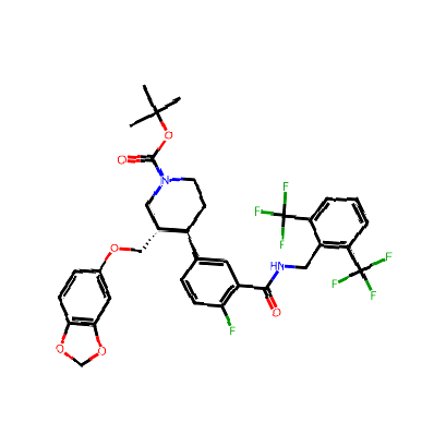 CC(C)(C)OC(=O)N1CC[C@@H](c2ccc(F)c(C(=O)NCc3c(C(F)(F)F)cccc3C(F)(F)F)c2)[C@H](COc2ccc3c(c2)OCO3)C1